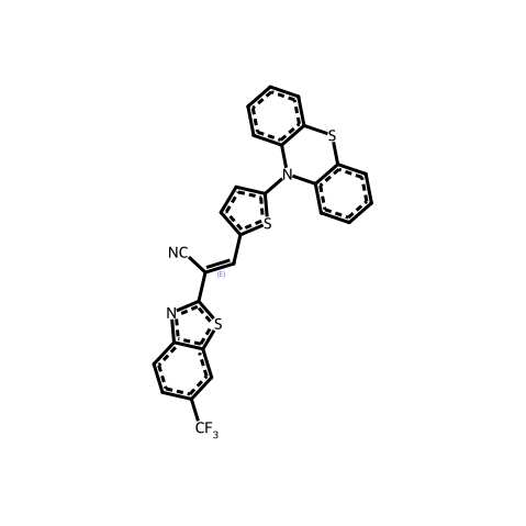 N#C/C(=C\c1ccc(N2c3ccccc3Sc3ccccc32)s1)c1nc2ccc(C(F)(F)F)cc2s1